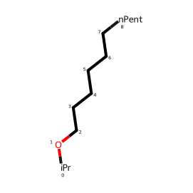 [CH2]C(C)OCCCCCCCCCCC